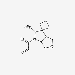 C=CC(=O)N1C2COCC2C2(CCC2)C1CCC